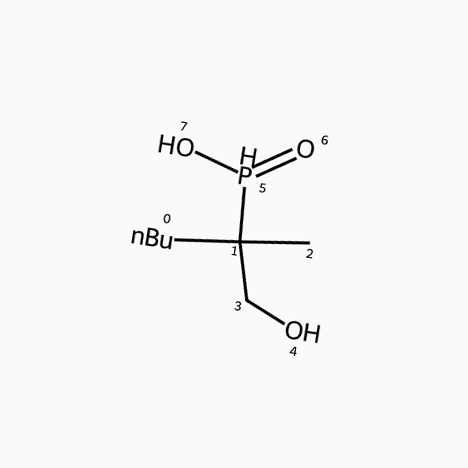 CCCCC(C)(CO)[PH](=O)O